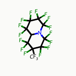 FC(F)(F)C1(F)C(F)(F)C2N(C(F)(F)C(F)(F)C(F)(F)C2(F)F)C(F)(F)C1(F)F